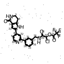 O=C1NCCc2[nH]c(-c3ccnc(-c4cccc(CNC(=O)C(Cl)OC(=O)C(F)(F)F)c4)c3)cc21